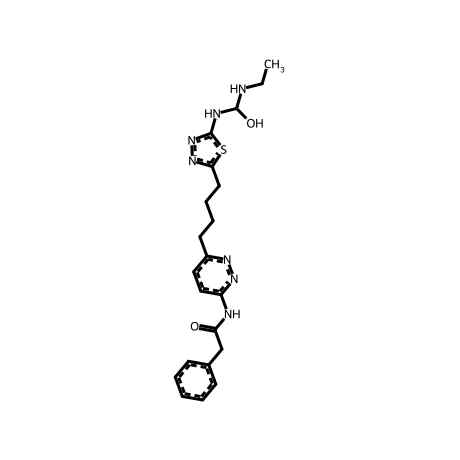 CCNC(O)Nc1nnc(CCCCc2ccc(NC(=O)Cc3ccccc3)nn2)s1